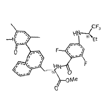 CC[C@@H](Nc1cc(F)c(C(=O)N[C@@H](Cc2ccc(-c3c(C)cc(C)n(C)c3=O)c3ccccc23)C(=O)OC)c(F)c1)C(F)(F)F